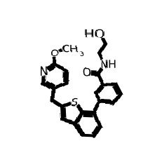 COc1ccc(Cc2cc3cccc(-c4cccc(C(=O)NCCO)c4)c3s2)cn1